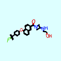 CC(C)(F)c1ccc(Oc2cccc3cc(C(=O)N4CC(NCCO)C4)ccc23)cc1